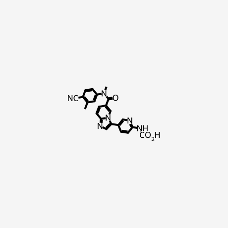 Cc1cc(N(C)C(=O)c2ccc3ncc(-c4ccc(NC(=O)O)nc4)n3c2)ccc1C#N